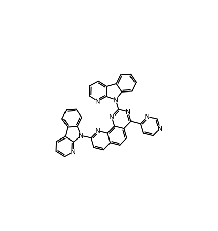 c1ccc2c(c1)c1cccnc1n2-c1ccc2ccc3c(-c4ccncn4)nc(-n4c5ccccc5c5cccnc54)nc3c2n1